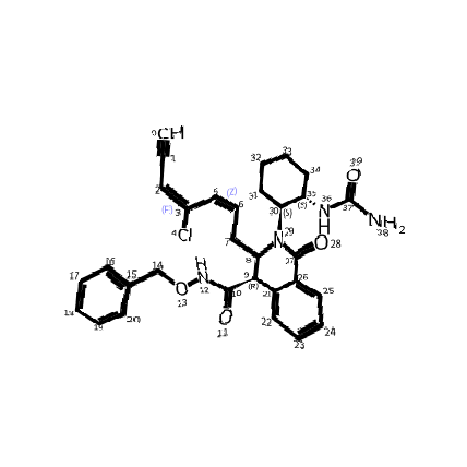 C#C/C=C(Cl)\C=C/CC1[C@H](C(=O)NOCc2ccccc2)c2ccccc2C(=O)N1[C@H]1CCCC[C@@H]1NC(N)=O